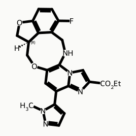 CCOC(=O)c1cn2c3c(cc(-c4ccnn4C)c2n1)OC[C@H]1COc2ccc(F)c(c21)CN3